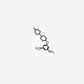 CC1CCC(C2CCC(Oc3cc(N)cc(N)c3)CC2)CC1